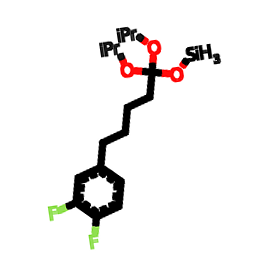 CC(C)OC(CCCCc1ccc(F)c(F)c1)(O[SiH3])OC(C)C